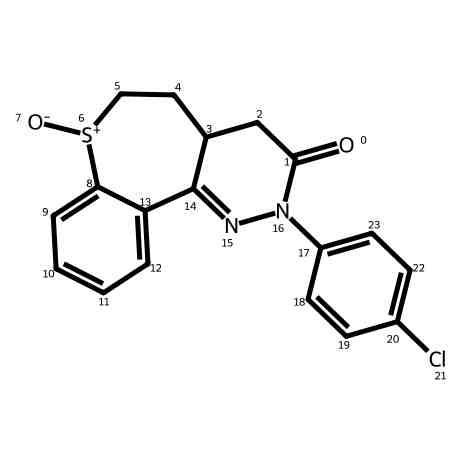 O=C1CC2CC[S+]([O-])c3ccccc3C2=NN1c1ccc(Cl)cc1